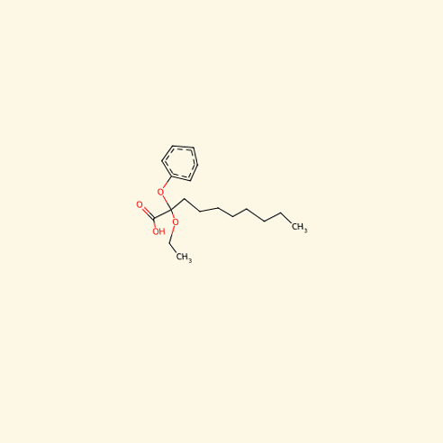 CCCCCCCCC(OCC)(Oc1ccccc1)C(=O)O